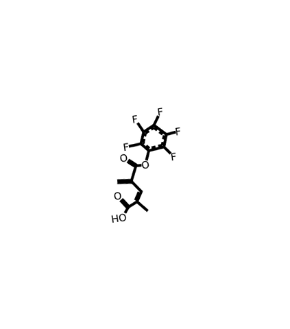 C=C(C=C(C)C(=O)O)C(=O)Oc1c(F)c(F)c(F)c(F)c1F